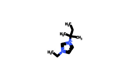 CCn1cc[n+](C(C)(C)CC)c1